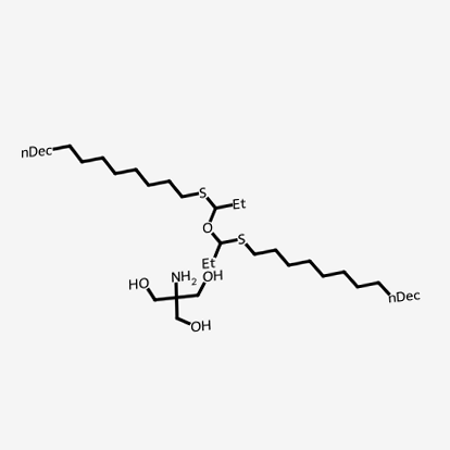 CCCCCCCCCCCCCCCCCCSC(CC)OC(CC)SCCCCCCCCCCCCCCCCCC.NC(CO)(CO)CO